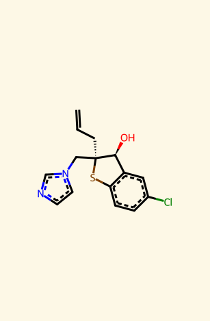 C=CC[C@@]1(Cn2ccnc2)Sc2ccc(Cl)cc2[C@@H]1O